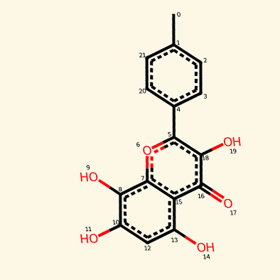 Cc1ccc(-c2oc3c(O)c(O)cc(O)c3c(=O)c2O)cc1